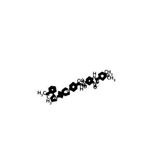 COC1(C)CCC(CNc2ccc(S(=O)(=O)NC(=O)c3ccc(N4CCC5(CC4)CC(N4CCC[C@H]4c4ccccc4C(C)C)C5)cc3)cc2[N+](=O)[O-])CC1